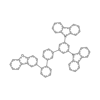 c1cc(-c2cc(-n3c4ccccc4c4ccccc43)cc(-n3c4ccccc4c4ccccc43)c2)cc(-c2ccccc2-c2ccc3oc4ccccc4c3c2)c1